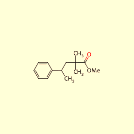 COC(=O)C(C)(C)CC(C)c1ccccc1